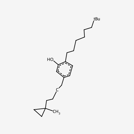 CC(C)(C)CCCCCCc1ccc(CCCCC2(C)CC2)cc1O